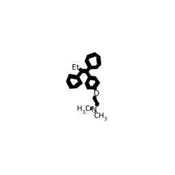 CC/C(=C(\C1=CC=CC=CC1)c1ccc(OCCN(C)C)cc1)c1ccccc1